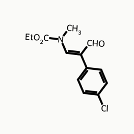 CCOC(=O)N(C)C=C(C=O)c1ccc(Cl)cc1